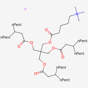 CCCCCC(CCCCC)CC(=O)OCC(COC(=O)CCCC[N+](C)(C)C)(COC(=O)CC(CCCCC)CCCCC)COC(=O)CC(CCCCC)CCCCC.[I-]